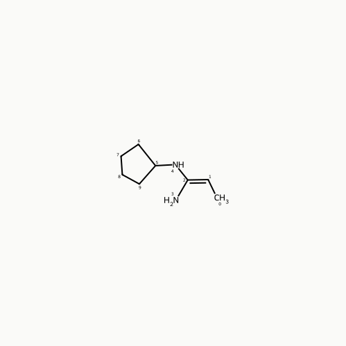 C/C=C(\N)NC1CCCC1